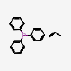 C=CC.c1ccc(P(c2ccccc2)c2ccccc2)cc1